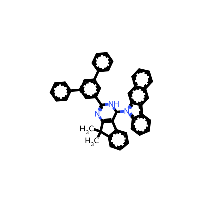 CC1(C)C2=C(c3ccccc31)C(n1c3ccccc3c3cc4ccccc4cc31)NC(c1cc(-c3ccccc3)cc(-c3ccccc3)c1)=N2